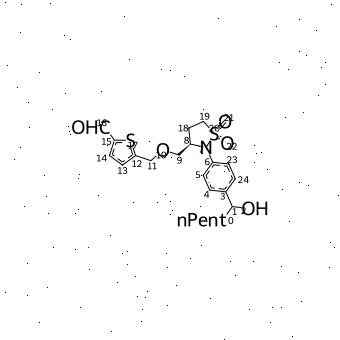 CCCCCC(O)c1ccc(N2[C@@H](COCc3ccc(C=O)s3)CCS2(=O)=O)cc1